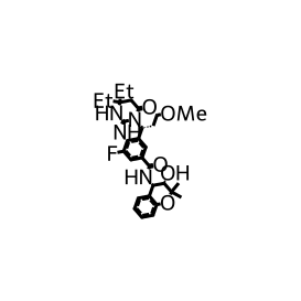 CCC1(CC)CC(=O)N([C@H](CCOC)c2cc(F)cc(C(=O)N[C@@H]3c4ccccc4OC(C)(C)[C@H]3O)c2)C(=N)N1